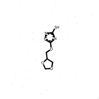 Sc1nsc(OCC2COCO2)n1